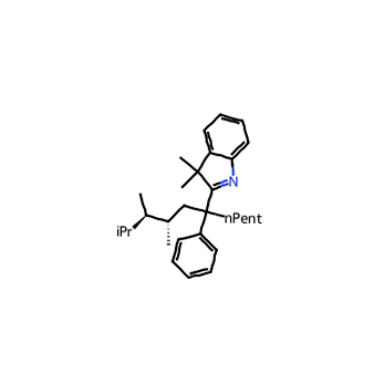 CCCCCC(C[C@H](C)[C@H](C)C(C)C)(C1=Nc2ccccc2C1(C)C)c1ccccc1